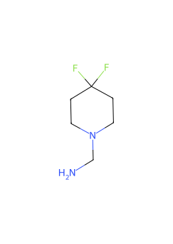 NCN1CCC(F)(F)CC1